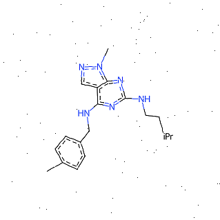 Cc1ccc(CNc2nc(NCCC(C)C)nc3c2cnn3C)cc1